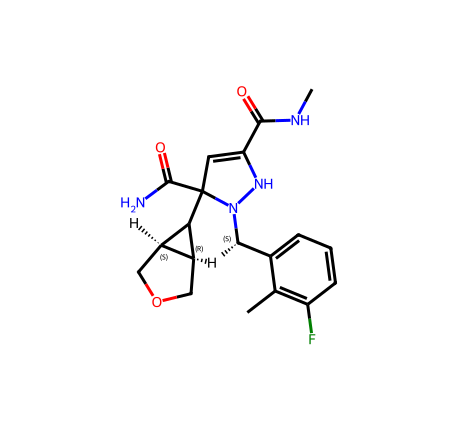 CNC(=O)C1=CC(C(N)=O)(C2[C@H]3COC[C@@H]23)N([C@@H](C)c2cccc(F)c2C)N1